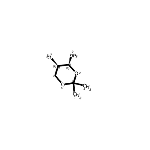 CCC[C@H]1OC(C)(C)OC[C@H]1CC